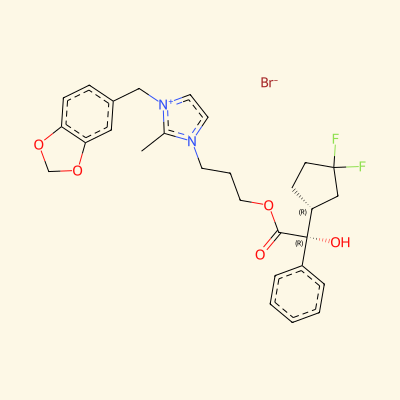 Cc1n(CCCOC(=O)[C@](O)(c2ccccc2)[C@@H]2CCC(F)(F)C2)cc[n+]1Cc1ccc2c(c1)OCO2.[Br-]